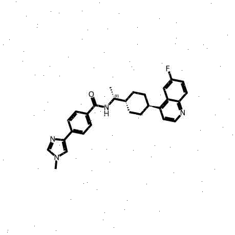 C[C@@H](NC(=O)c1ccc(-c2cn(C)cn2)cc1)[C@H]1CC[C@H](c2ccnc3ccc(F)cc32)CC1